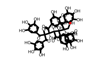 O=C(c1cc(O)c(O)c(O)c1)C(O)(C(=O)c1cc(O)c(O)c(O)c1)[C@@](O)(C(=O)c1cc(O)c(O)c(O)c1)[C@](O)(C(=O)c1cc(O)c(O)c(O)c1)[C@@](O)(C(=O)c1cc(O)c(O)c(O)c1)[C@](O)(CO)C(=O)c1cc(O)c(O)c(O)c1